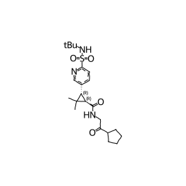 CC(C)(C)NS(=O)(=O)c1ccc([C@@H]2[C@@H](C(=O)NCC(=O)C3CCCC3)C2(C)C)cn1